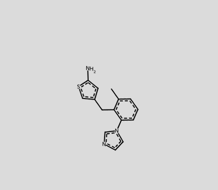 Cc1cccc(-n2ccnc2)c1Cc1csc(N)c1